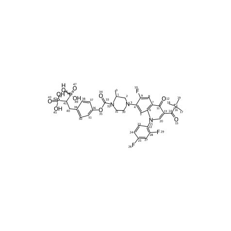 CC1CN(c2cc3c(cc2F)c(=O)c(C(=O)[Si](C)(C)C)cn3-c2ccc(F)cc2F)CCN1C(=O)Oc1ccc(CC(P(=O)(O)O)P(=O)(O)O)cc1